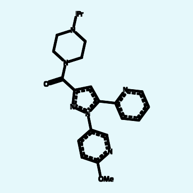 COc1ccc(-n2nc(C(=O)N3CCN(C(C)C)CC3)cc2-c2ccccn2)cn1